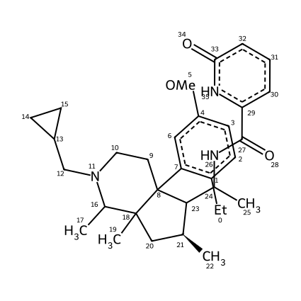 CCc1ccc(OC)cc1C12CCN(CC3CC3)C(C)C1(C)C[C@H](C)C2C(C)NC(=O)c1cccc(=O)[nH]1